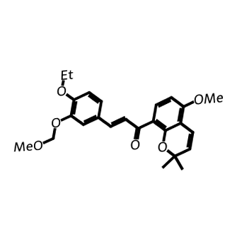 CCOc1ccc(C=CC(=O)c2ccc(OC)c3c2OC(C)(C)C=C3)cc1OCOC